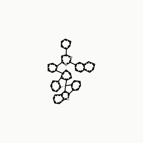 c1ccc(-c2cc(-c3ccccc3-c3cccc4c3-c3ccccc3[C@@]43c4ccccc4-c4oc5ccccc5c43)nc(-c3ccc4ccccc4c3)n2)cc1